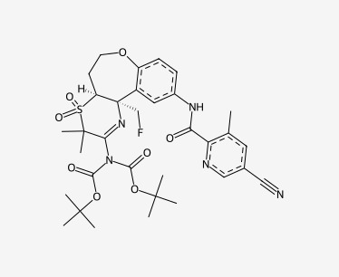 Cc1cc(C#N)cnc1C(=O)Nc1ccc2c(c1)[C@@]1(CF)N=C(N(C(=O)OC(C)(C)C)C(=O)OC(C)(C)C)C(C)(C)S(=O)(=O)[C@H]1CCO2